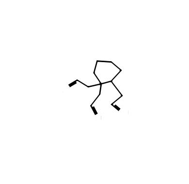 C=C[CH]C1(CC=C)CCCCC1CC=C